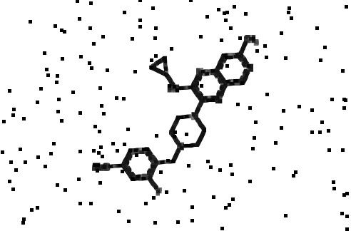 COc1ccc(CN2CCN(c3nc4cnc(C)cc4nc3NC3CC3)CC2)c(F)c1